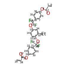 C=CC(=O)Oc1ccc(C(F)(F)Oc2ccc(OC(F)(F)c3ccc(OC(=O)C=C)cc3)c(CC)c2)cc1